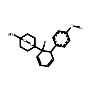 CCCC12CCC(C3(F)C=CC=CC3c3ccc(OCC)cc3)(CC1)CC2